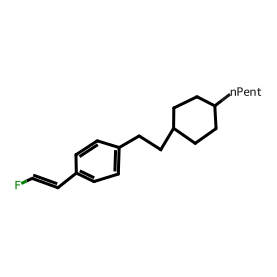 CCCCCC1CCC(CCc2ccc(C=CF)cc2)CC1